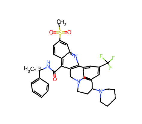 C[C@H](NC(=O)c1c(CN2CCC(N3CCCCC3)CC2)c(-c2cccc(C(F)(F)F)c2)nc2cc(S(C)(=O)=O)ccc12)c1ccccc1